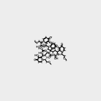 COCCn1ccc(=O)c(O)c1C(CCN(C(=O)O)C(CCC(NC(=O)O)c1c(O)c(=O)ccn1CCOC)(CCC(NC(=O)O)c1c(O)c(=O)ccn1CCOC)c1ccccc1)NC(=O)O